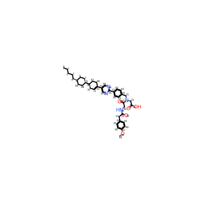 CCCCC[C@H]1CC[C@@H]([C@@H]2CC=C(c3cnc(-c4ccc(CN(CC(=O)O)C(=O)CNC(=O)Cc5ccc(OC)cc5)cc4)nc3)CC2)CC1